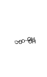 OC(O)CCC1=CCC(OCC2=CCCC=C2)C=C1